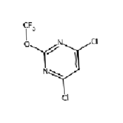 FC(F)(F)Oc1nc(Cl)cc(Cl)n1